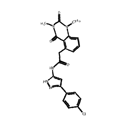 Cn1c(=O)c2c(CC(=O)Nc3cc(-c4ccc(Cl)cc4)n[nH]3)cccc2n(C)c1=O